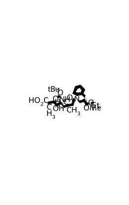 CCO[C@@H](OC)[C@H]1Cc2ccccc2N(C(=O)CC(C)(C)C[C@H](NC(=O)OC(C)(C)C)[C@@H](O)C[C@@H](C)C(=O)O)C1